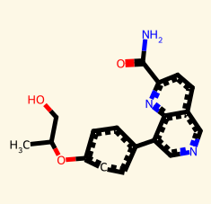 CC(CO)Oc1ccc(-c2cncc3ccc(C(N)=O)nc23)cc1